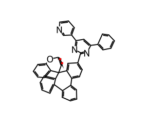 c1ccc(-c2cc(-c3cccnc3)nc(-c3ccc4c(c3)C3(c5ccccc5Oc5ccccc53)c3ccccc3-c3ccccc3-4)n2)cc1